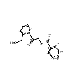 CCc1ccccc1C(=O)CCC(=O)c1ccccn1